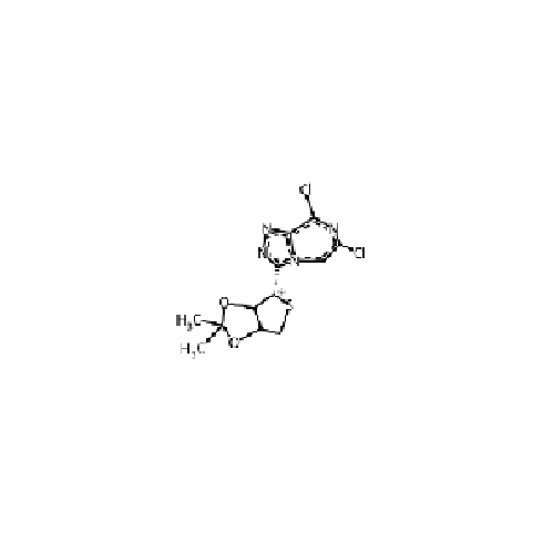 CC1(C)OC2CS[C@@H](c3nnc4c(Cl)nc(Cl)cn34)C2O1